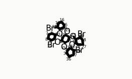 O=C1C(Oc2ccccc2Br)=C(Oc2ccccc2Br)C(=O)C(Oc2ccccc2Br)=C1Oc1ccccc1Br